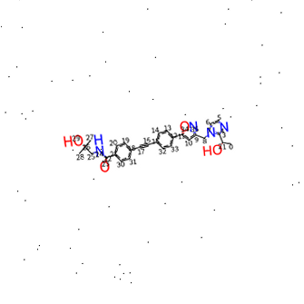 CC(O)c1nccn1Cc1cc(-c2ccc(C#Cc3ccc(C(=O)NCC(C)(C)O)cc3)cc2)on1